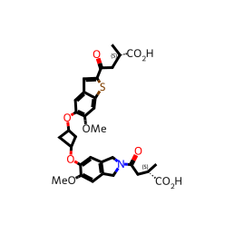 COc1cc2c(cc1OC1CC(Oc3cc4cc(C(=O)C[C@H](C)C(=O)O)sc4cc3OC)C1)CN(C(=O)C[C@H](C)C(=O)O)C2